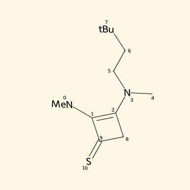 CNC1=C(N(C)CCC(C)(C)C)CC1=S